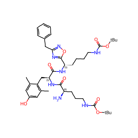 Cc1cc(O)cc(C)c1C[C@H](NC(=O)[C@H](N)CCCNC(=O)OC(C)(C)C)C(=O)N[C@@H](CCCCNC(=O)OC(C)(C)C)c1nc(Cc2ccccc2)no1